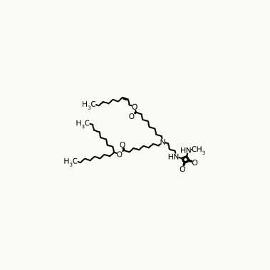 CCCCCC/C=C\COC(=O)CCCCCCCN(CCCCCCCC(=O)OC(CCCCCCCC)CCCCCCCC)CCCNc1c(NC)c(=O)c1=O